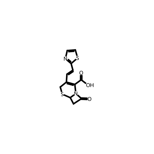 O=C(O)C1=C(C=Cc2nccs2)CSC2CC(=O)N12